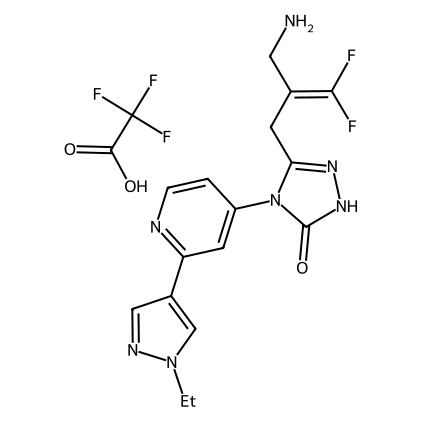 CCn1cc(-c2cc(-n3c(CC(CN)=C(F)F)n[nH]c3=O)ccn2)cn1.O=C(O)C(F)(F)F